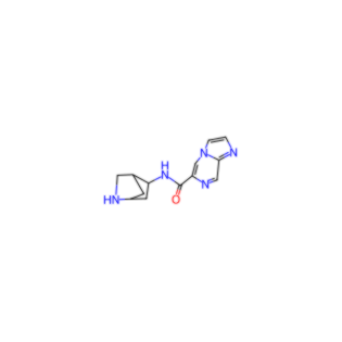 O=C(NC1CC2CC1CN2)c1cn2ccnc2cn1